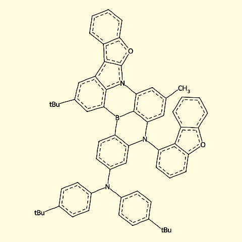 Cc1cc2c3c(c1)-n1c4oc5ccccc5c4c4cc(C(C)(C)C)cc(c41)B3c1ccc(N(c3ccc(C(C)(C)C)cc3)c3ccc(C(C)(C)C)cc3)cc1N2c1cccc2oc3ccccc3c12